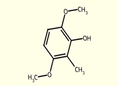 COc1ccc(OC)c(O)c1C